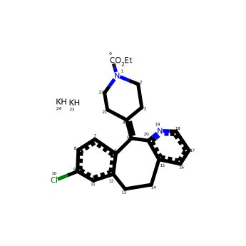 CCOC(=O)N1CCC(=C2c3ccc(Cl)cc3CCc3cccnc32)CC1.[KH].[KH]